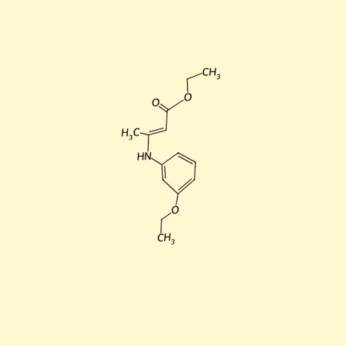 CCOC(=O)C=C(C)Nc1cccc(OCC)c1